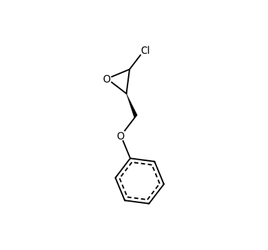 ClC1O[C@@H]1COc1ccccc1